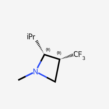 CC(C)[C@@H]1[C@H](C(F)(F)F)CN1C